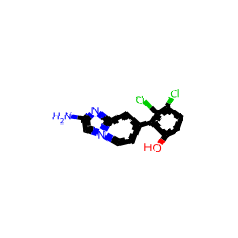 Nc1cn2ccc(-c3c(O)ccc(Cl)c3Cl)cc2n1